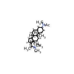 CC(=O)N(C)C1CC[C@@]2(C)C(CC[C@H]3[C@@H]4CC[C@H](C(C)N(C)C)[C@@]4(C)CC[C@@H]32)C1